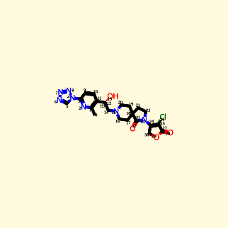 Cc1nc(-n2cnnn2)ccc1[C@H](O)CN1CCC2(CC1)CCN(C1=C(Cl)C(=O)OC1)C2=O